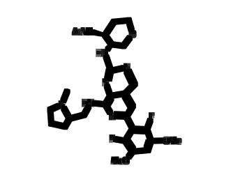 COc1cc(OC)c(F)c(-c2cc3cnc(N[C@@H]4COCC[C@@H]4NC(C)=O)nc3c(NCC3CCCN3C)n2)c1F